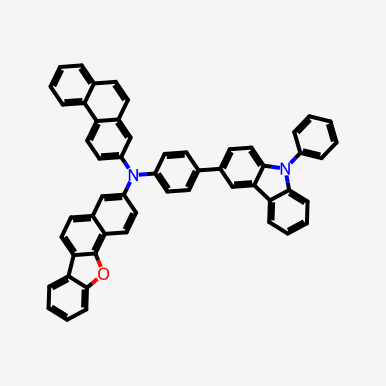 c1ccc(-n2c3ccccc3c3cc(-c4ccc(N(c5ccc6c(ccc7ccccc76)c5)c5ccc6c(ccc7c8ccccc8oc67)c5)cc4)ccc32)cc1